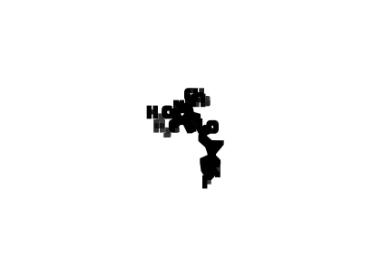 CNc1nc(C)c(C)c2c1CN(C(=O)CC1CC1c1ccc(F)nc1)C2